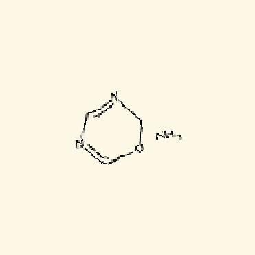 C1=NC=NCO1.N